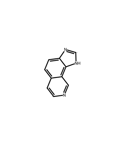 [c]1cc2ccc3n[c][nH]c3c2cn1